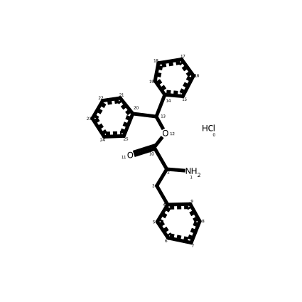 Cl.NC(Cc1ccccc1)C(=O)OC(c1ccccc1)c1ccccc1